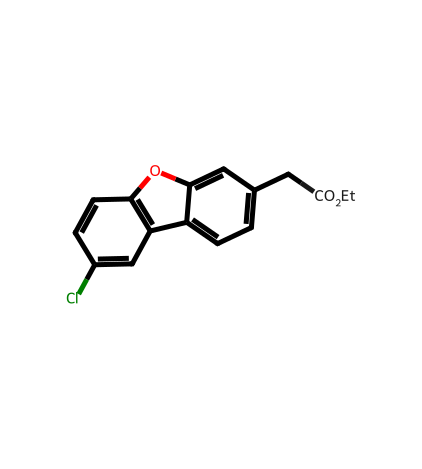 CCOC(=O)Cc1ccc2c(c1)oc1ccc(Cl)cc12